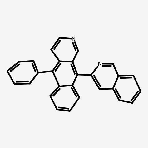 c1ccc(-c2c3ccccc3c(-c3cc4ccccc4cn3)c3cnccc23)cc1